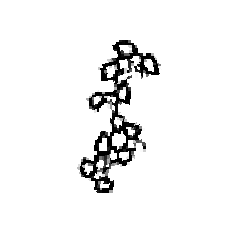 c1cc(-c2ccc3c4c2-c2c(ccc5oc6ccccc6c25)B4n2c4ccccc4c4cccc-3c42)cc(-n2c3ccccc3c3c4c(ccc32)[SH]2c3c-4cccc3-c3cccc4c5ccccc5n2c34)c1